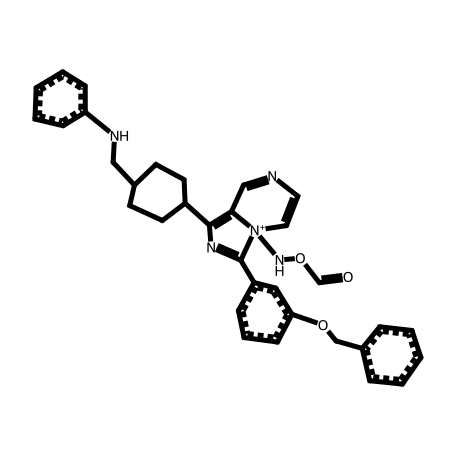 O=CON[N+]12C=CN=CC1=C(C1CCC(CNc3ccccc3)CC1)N=C2c1cccc(OCc2ccccc2)c1